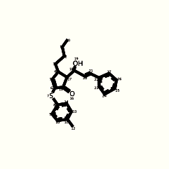 CCCCC1C=C(Sc2ccc(C)cc2)C(=O)C1C(O)/C=C/c1ccccc1